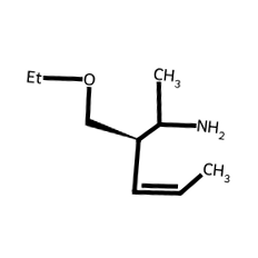 C/C=C\[C@@H](COCC)C(C)N